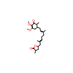 COC1=C(OC)C(=O)C(C)C(C/C=C(\C)CC/C=C(\C)CC2CC(C)C(=O)O2)C1